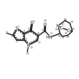 Cc1cc2c(s1)c(=O)c(C(=O)NC1CCC3CCN1CC3)cn2C